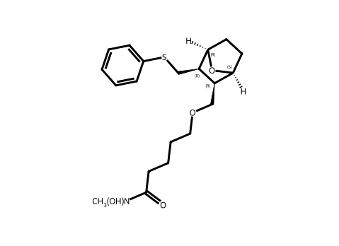 CN(O)C(=O)CCCCOC[C@H]1[C@@H](CSc2ccccc2)[C@H]2CC[C@@H]1O2